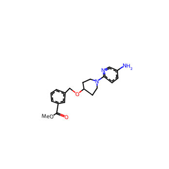 COC(=O)c1cccc(COC2CCN(c3ccc(N)cn3)CC2)c1